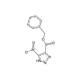 O=C(OCc1ccccc1)c1nn[nH]c1[N+](=O)[O-]